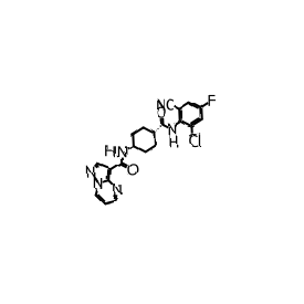 N#Cc1cc(F)cc(Cl)c1NC(=O)[C@H]1CC[C@H](NC(=O)c2cnn3cccnc23)CC1